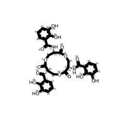 O=C(N[C@H]1COC(=O)[C@@H](C(=O)c2cccc(O)c2O)COC(=O)[C@@H](NC(=O)c2cccc(O)c2O)COC1=O)c1cccc(O)c1O